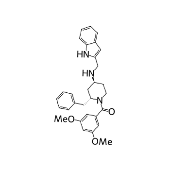 COc1cc(OC)cc(C(=O)N2CC[C@H](NCc3cc4ccccc4[nH]3)C[C@H]2Cc2ccccc2)c1